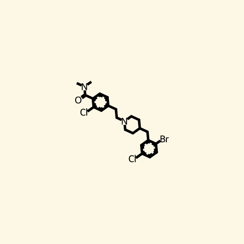 CN(C)C(=O)c1ccc(CCN2CCC(Cc3cc(Cl)ccc3Br)CC2)cc1Cl